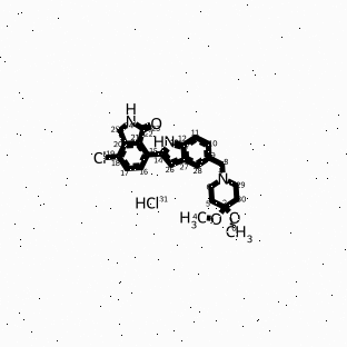 COC1(OC)CCN(Cc2ccc3[nH]c(-c4ccc(Cl)c5c4C(=O)NC5)cc3c2)CC1.Cl